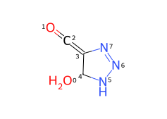 O.O=C=C1CNN=N1